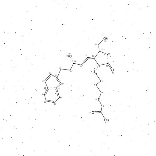 O=C(O)CSCCCS[C@H]1C(=O)C[C@@H](CO)[C@@H]1/C=C/[C@@H](O)CCc1ccc2ccccc2c1